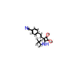 CC(Nc1c(/C=C/c2ccc(C#N)cc2)c(=O)c1=O)C(C)(C)C